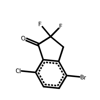 O=C1c2c(Cl)ccc(Br)c2CC1(F)F